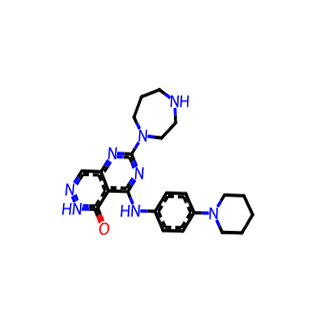 O=c1[nH]ncc2nc(N3CCCNCC3)nc(Nc3ccc(N4CCCCC4)cc3)c12